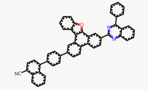 N#Cc1ccc(-c2ccc(-c3ccc4c5ccc(-c6nc(-c7ccccc7)c7ccccc7n6)cc5c5oc6ccccc6c5c4c3)cc2)c2ccccc12